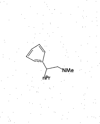 CCCC(CNC)c1ccccc1